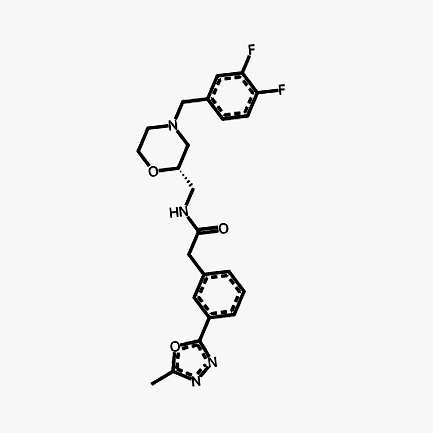 Cc1nnc(-c2cccc(CC(=O)NC[C@H]3CN(Cc4ccc(F)c(F)c4)CCO3)c2)o1